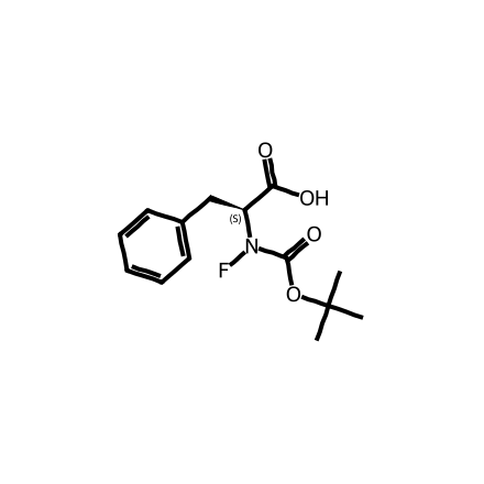 CC(C)(C)OC(=O)N(F)[C@@H](Cc1ccccc1)C(=O)O